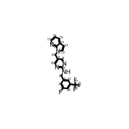 Fc1cc(CNc2ncc(Cn3ccc4cccnc43)cn2)cc(C(F)(F)F)c1